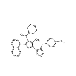 Cc1ccc(Cn2cncc2-n2cc(-c3cccc4ccccc34)c(C(=O)N3CCOCC3)c2C)cc1